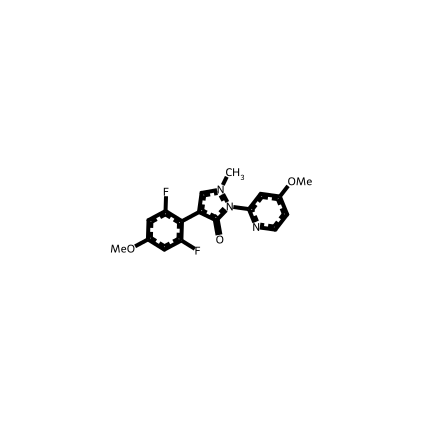 COc1ccnc(-n2c(=O)c(-c3c(F)cc(OC)cc3F)cn2C)c1